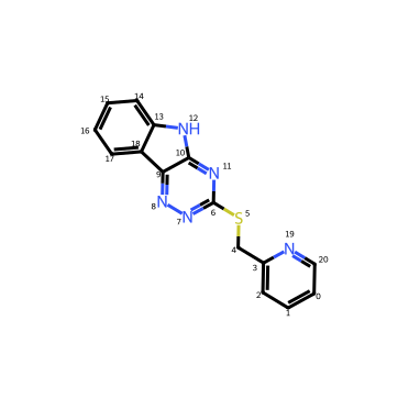 c1ccc(CSc2nnc3c(n2)[nH]c2ccccc23)nc1